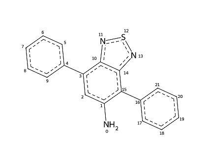 Nc1cc(-c2ccccc2)c2nsnc2c1-c1ccccc1